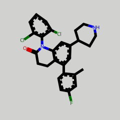 Cc1cc(F)ccc1-c1cc(C2CCNCC2)cc2c1CCC(=O)N2c1c(Cl)cccc1Cl